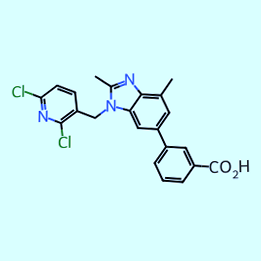 Cc1cc(-c2cccc(C(=O)O)c2)cc2c1nc(C)n2Cc1ccc(Cl)nc1Cl